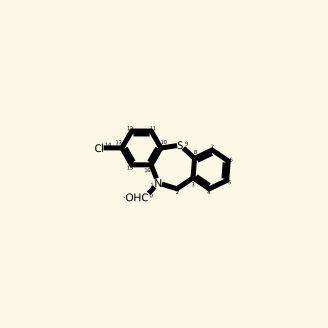 O=[C]N1Cc2ccccc2Sc2ccc(Cl)cc21